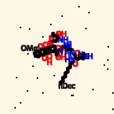 CCCCCCCCCCCCCCCCCCCC(=O)NC(Cc1c[nH]cn1)C(=O)NCc1cn(C/N=C(/CO)C2(O)Cc3c(O)c4c(c(O)c3C(OC3CC(N)C(O)C(C)O3)C2)C(=O)c2c(OC)cccc2C4=O)nn1